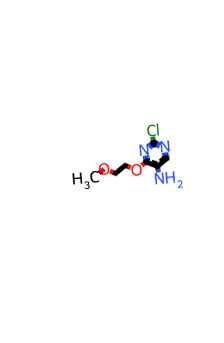 COCCOc1nc(Cl)ncc1N